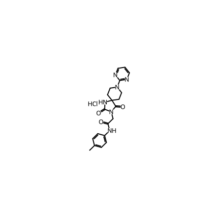 Cc1ccc(NC(=O)CN2C(=O)NC3(CCN(c4ncccn4)CC3)C2=O)cc1.Cl